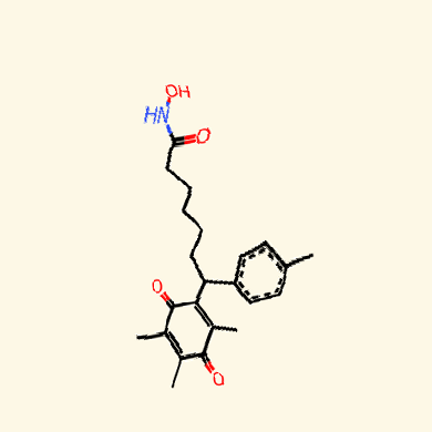 CC1=C(C)C(=O)C(C(CCCCCC(=O)NO)c2ccc(C)cc2)=C(C)C1=O